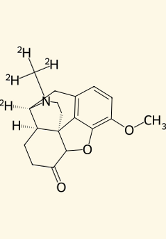 [2H]C([2H])([2H])N1CC[C@]23c4c5ccc(OC)c4OC2C(=O)CC[C@H]3[C@@]1([2H])C5